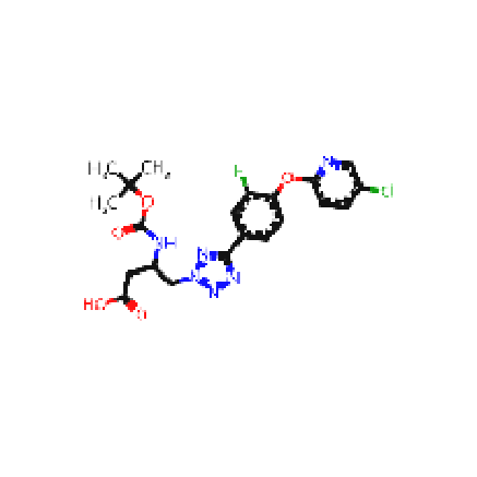 CC(C)(C)OC(=O)NC(CC(=O)O)Cn1nnc(-c2ccc(Oc3ccc(Cl)cn3)c(F)c2)n1